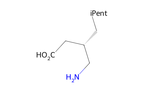 CCCC(C)C[C@H](CN)CC(=O)O